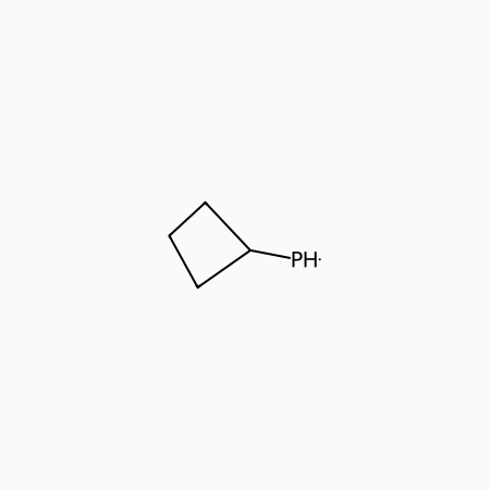 [PH]C1CCC1